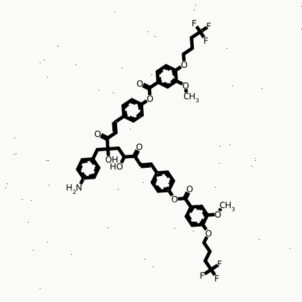 COc1cc(C(=O)Oc2ccc(/C=C/C(=O)C(O)CC(O)(Cc3ccc(N)cc3)C(=O)/C=C/c3ccc(OC(=O)c4ccc(OCCCC(F)(F)F)c(OC)c4)cc3)cc2)ccc1OCCCC(F)(F)F